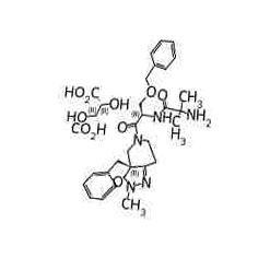 CN1N=C2CCN(C(=O)[C@@H](COCc3ccccc3)NC(=O)C(C)(C)N)C[C@@]2(Cc2ccccc2)C1=O.O=C(O)[C@H](O)[C@@H](O)C(=O)O